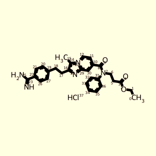 CCOC(=O)CCN(C(=O)c1ccn2c(C)c(CCc3ccc(C(=N)N)cc3)nc2c1)c1ccccc1.Cl